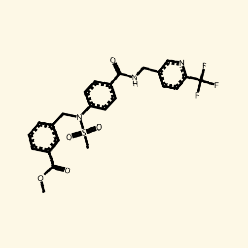 COC(=O)c1cccc(CN(c2ccc(C(=O)NCc3ccc(C(F)(F)F)nc3)cc2)S(C)(=O)=O)c1